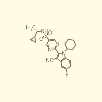 C[C@H](NS(=O)(=O)c1cnc(-c2c(C#N)c3cc(F)ccc3n2C2CCCCC2)nc1)C1CC1